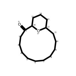 O=C1CCCCCCCCCCC2CCCC1O2